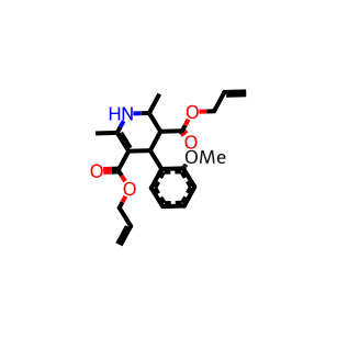 C=CCOC(=O)C1=C(C)NC(C)C(C(=O)OCC=C)C1c1ccccc1OC